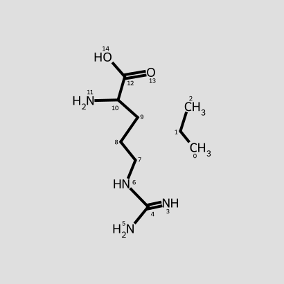 CCC.N=C(N)NCCCC(N)C(=O)O